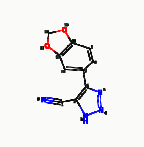 N#Cc1[nH]nnc1-c1ccc2c(c1)OCO2